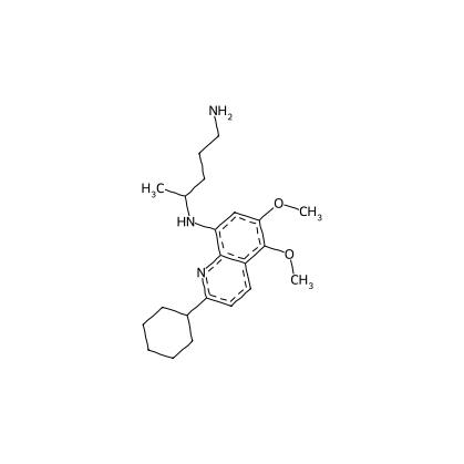 COc1cc(NC(C)CCCN)c2nc(C3CCCCC3)ccc2c1OC